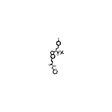 CC(C)(C)OC(=O)N(CCc1ccc(F)cc1)C1CCc2cc(/C=C/C(=O)NOC3CCCCO3)ccc21